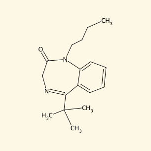 CCCCN1C(=O)CN=C(C(C)(C)C)c2ccccc21